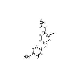 C[C@H]1CN(Cc2ccc(N)nc2)CCN1CCO